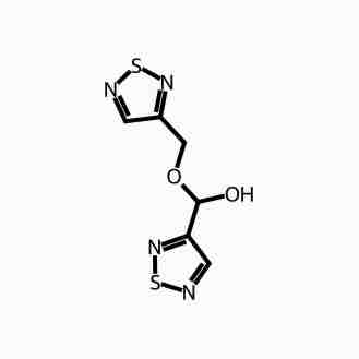 OC(OCc1cnsn1)c1cnsn1